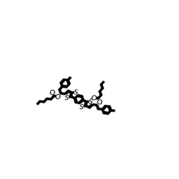 CCCCCC(=O)OC(Cc1ccc(C)cc1)c1cc2sc3cc4c(cc3c2s1)sc1cc(C(Cc2ccc(C)cc2)OC(=O)CCCCC)sc14